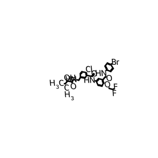 CC(C)C(O)C(=O)NCc1ccc(Cl)c(C(=O)Nc2ccc(OCC(F)F)c(C(=O)Nc3ccc(Br)cc3)c2)c1